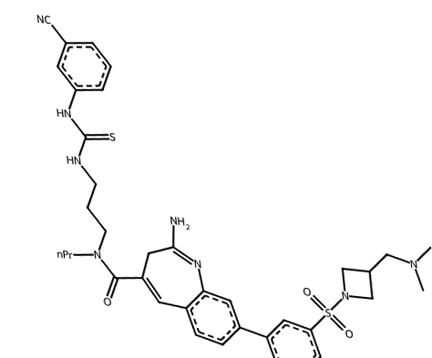 CCCN(CCCNC(=S)Nc1cccc(C#N)c1)C(=O)C1=Cc2ccc(-c3cccc(S(=O)(=O)N4CC(CN(C)C)C4)c3)cc2N=C(N)C1